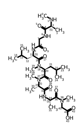 CN[C@@H](C)C(=O)NCC(=O)N[C@@H](CC(C)C)C(=O)N(C)[C@@H](CC(C)C)C(=O)N(C)[C@@H](C)C(=O)N[C@@H](C)C(=O)N(C)CC(=O)O